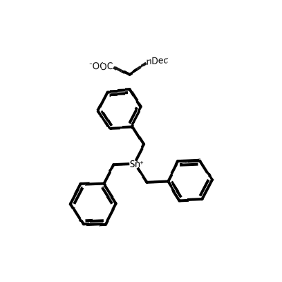 CCCCCCCCCCCC(=O)[O-].c1ccc([CH2][Sn+]([CH2]c2ccccc2)[CH2]c2ccccc2)cc1